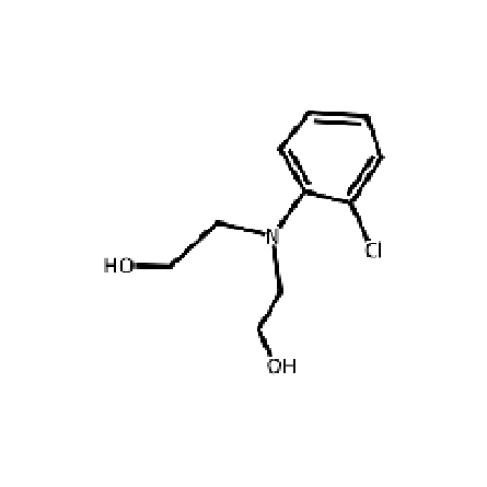 OCCN(CCO)c1ccccc1Cl